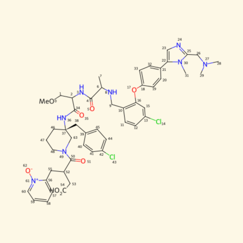 COCC(NC(=O)C(C)NCc1ccc(Cl)cc1Oc1ccc(-c2cnc(CN(C)C)n2C)cc1)C(=O)N[C@@]1(Cc2ccc(Cl)cc2)CCCN(C(=O)C(CC(=O)O)Cc2cccc[n+]2[O-])C1